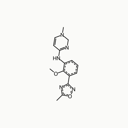 COc1c(NC2=NCN(C)C=C2)cccc1-c1noc(C)n1